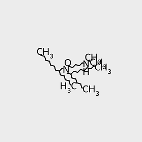 CCCCCCCCC(CCCCCC)CN(CC(CCCCCC)CCCCCCCC)C(=O)CCCCNC(C)C